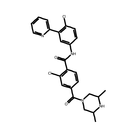 CC1CN(C(=O)c2ccc(C(=O)Nc3ccc(Cl)c(-c4ccccn4)c3)c(Cl)c2)CC(C)N1